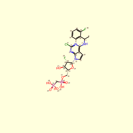 CC(Nc1nc(Cl)nc2c1ccn2[C@@H]1O[C@H](COP(=O)(O)CP(=O)(O)O)[C@@H](O)[C@@H]1F)c1ccccc1F